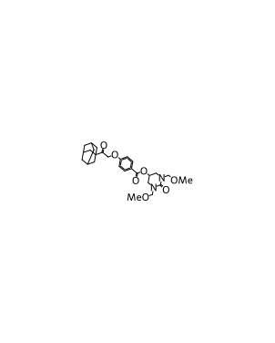 COCN1CC(OC(=O)c2ccc(OCC(=O)C34CC5CC(CC(C5)C3)C4)cc2)CN(COC)C1=O